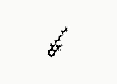 O=c1c2ccccc2[nH]c(=S)n1CCCNCCO